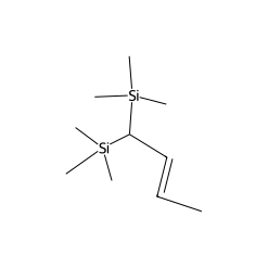 CC=CC([Si](C)(C)C)[Si](C)(C)C